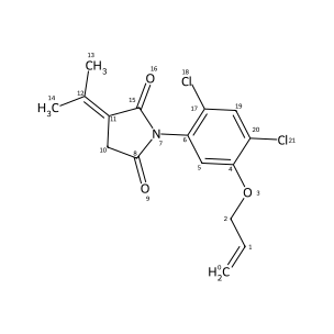 C=CCOc1cc(N2C(=O)CC(=C(C)C)C2=O)c(Cl)cc1Cl